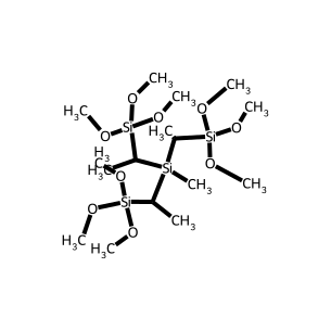 CO[Si](OC)(OC)C(C)[Si](C)(C(C)[Si](OC)(OC)OC)C(C)[Si](OC)(OC)OC